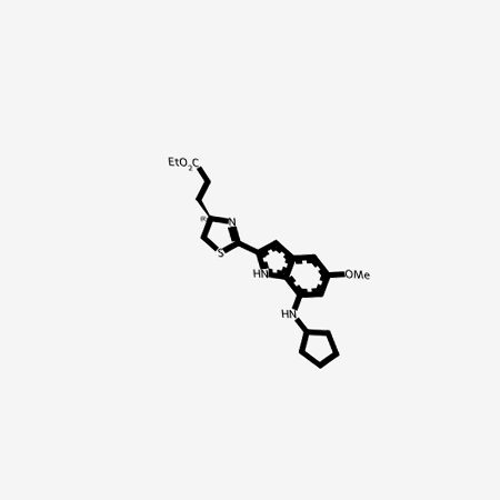 CCOC(=O)CC[C@@H]1CSC(c2cc3cc(OC)cc(NC4CCCC4)c3[nH]2)=N1